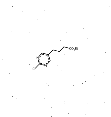 CCOC(=O)CCCc1cnc(Cl)nc1